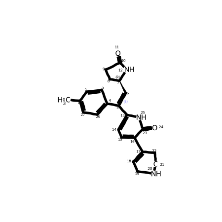 Cc1ccc(/C(=C\[C@H]2CCC(=O)N2)c2ccc(C3=CCNCC3)c(=O)[nH]2)cc1